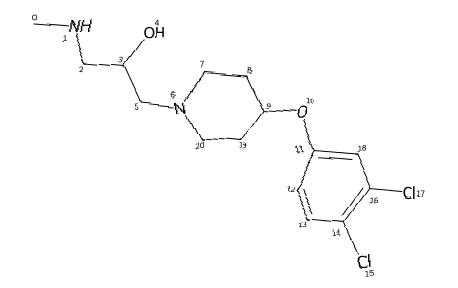 CNCC(O)CN1CCC(Oc2ccc(Cl)c(Cl)c2)CC1